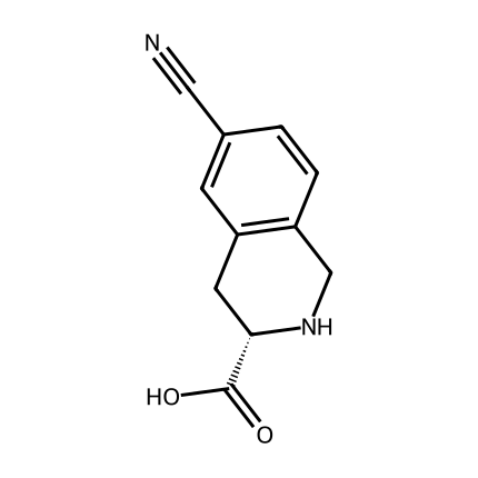 N#Cc1ccc2c(c1)C[C@@H](C(=O)O)NC2